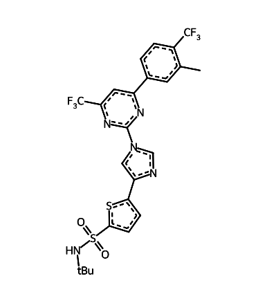 Cc1cc(-c2cc(C(F)(F)F)nc(-n3cnc(-c4ccc(S(=O)(=O)NC(C)(C)C)s4)c3)n2)ccc1C(F)(F)F